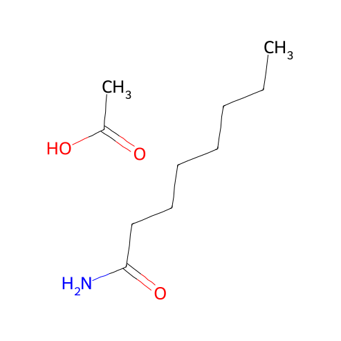 CC(=O)O.CCCCCCCC(N)=O